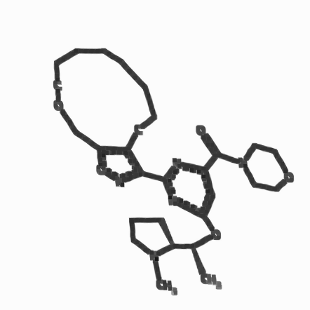 C[C@H](Oc1cc(C(=O)N2CCOCC2)nc(-c2noc3c2CCCCCCCCOC3)n1)[C@@H]1CCCN1C